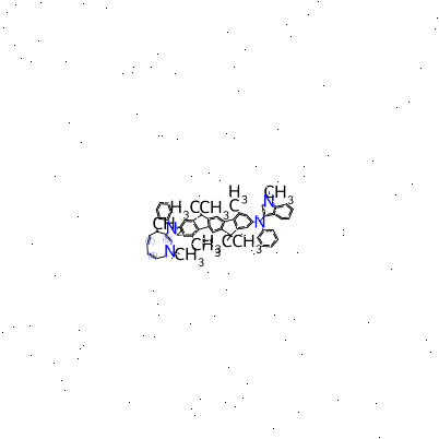 C=C1/C=C\C=C/CN(C)/C=C\1N(c1ccccc1)c1cc(C)c2c(c1)C(C)(C)c1cc3c(cc1-2)C(C)(C)c1cc(N(c2ccccc2)c2cn(C)c4ccccc24)cc(C)c1-3